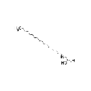 CCCCCCCCCCCCCCCCCCNCC(C)O